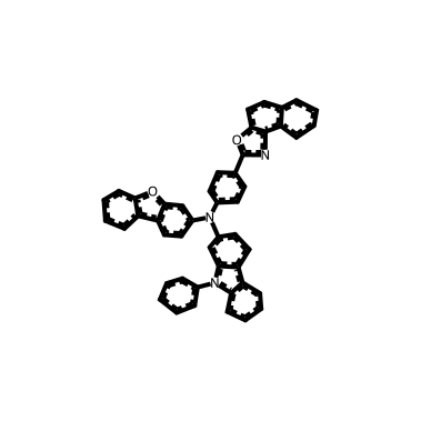 c1ccc(-n2c3ccccc3c3ccc(N(c4ccc(-c5nc6c(ccc7ccccc76)o5)cc4)c4ccc5c(c4)oc4ccccc45)cc32)cc1